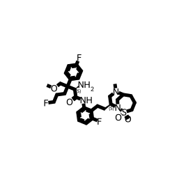 COCC(CCCF)(c1ccc(F)cc1)[C@H](N)C(=O)Nc1cccc(F)c1CC[C@H]1CN(C)C2CCCS(=O)(=O)N1C2